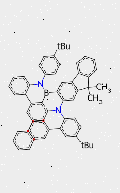 CC(C)(C)c1ccc(N2B3c4cc5c(cc4N(c4ccc(C(C)(C)C)cc4-c4ccccc4)c4cc(-c6ccccc6)cc(c43)-c3ccccc32)C(C)(C)c2ccccc2-5)cc1